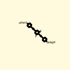 CCCCCCCc1ccc(C#Cc2c(F)cc(C#Cc3ccc(CCCCC)cc3)cc2F)cc1